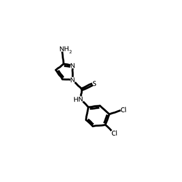 Nc1ccn(C(=S)Nc2ccc(Cl)c(Cl)c2)n1